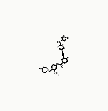 Cc1ccc(C(=O)Nc2ccc(CN3CCN(C)CC3)c(C(F)(F)F)c2)cc1C#Cc1cnc(Nc2cnn(C)c2)nc1